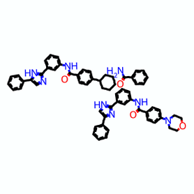 NC(=O)c1ccccc1.O=C(Nc1cccc(-c2nc(-c3ccccc3)c[nH]2)c1)c1ccc(N2CCOCC2)cc1.O=C(Nc1cccc(-c2ncc(-c3ccccc3)[nH]2)c1)c1ccc(C2CCCCC2)cc1